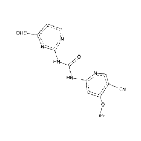 CC(C)Oc1cc(NC(=O)Nc2nccc(C=O)n2)ncc1C#N